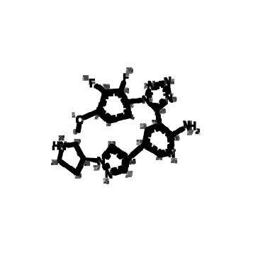 COc1ccc(-n2nnnc2-c2cc(-c3cnn([C@H]4CCNC4)c3)cnc2N)c(F)c1F